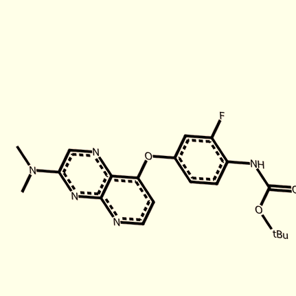 CN(C)c1cnc2c(Oc3ccc(NC(=O)OC(C)(C)C)c(F)c3)ccnc2n1